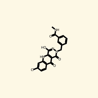 CNC(=O)c1cccc(Cn2nc(O)c3[nH]c4cc(Cl)ccc4c(=O)c3c2=O)c1